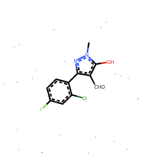 Cn1nc(-c2ccc(F)cc2Cl)c(C=O)c1O